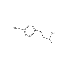 [CH2]C(O)COc1ccc(C(C)(C)C)cc1